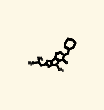 CC(N)Cc1nc2c(s1)c1cnn(CC3=CCC=CCC3)c(=O)c1n2C